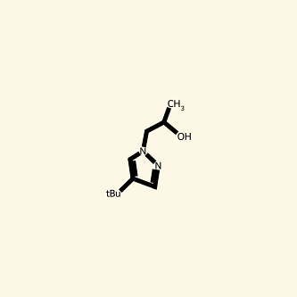 CC(O)Cn1cc(C(C)(C)C)cn1